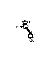 CC(C)(C)C1CCC(O)(C#Cc2nc(N)c3nc[nH]c3n2)CC1